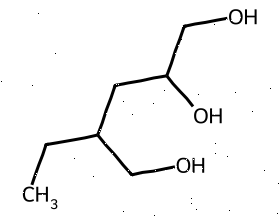 CCC(CO)CC(O)CO